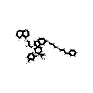 C[C@@H](COc1ccnc2c1[C@H](C)CCC2)C[C@H]1Cc2ccc(OCCCOCCCc3ccccc3)cc2C12CCC(Nc1cccc(Cl)c1)(C(=O)O)CC2